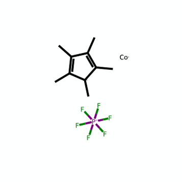 C[C]1C(C)=C(C)C(C)=C1C.F[P-](F)(F)(F)(F)F.[Co]